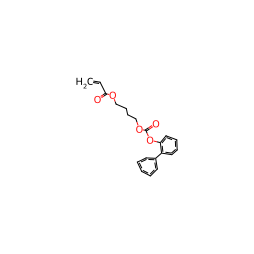 C=CC(=O)OCCCCOC(=O)Oc1ccccc1-c1ccccc1